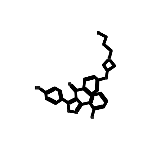 O=C(c1ccc(OC2CN(CCCF)C2)cc1)c1c(-c2ccccc2Cl)noc1-c1ccc(O)cc1